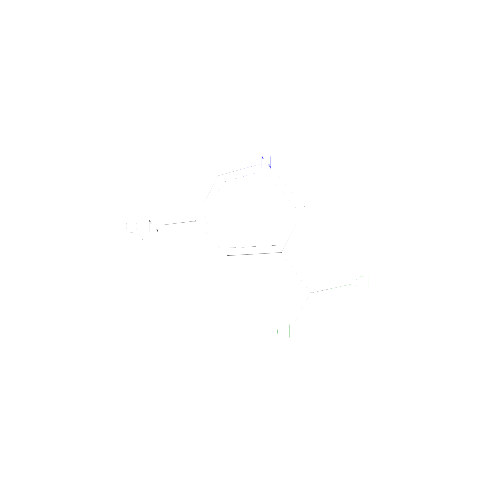 O=[N+]([O-])c1cncc(C(Cl)Cl)c1